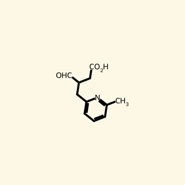 Cc1cccc(CC(C=O)CC(=O)O)n1